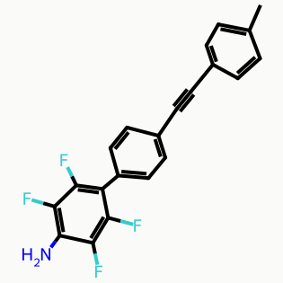 Cc1ccc(C#Cc2ccc(-c3c(F)c(F)c(N)c(F)c3F)cc2)cc1